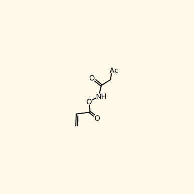 C=CC(=O)ONC(=O)CC(C)=O